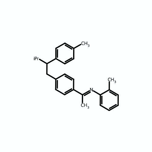 C/C(=N\c1ccccc1C)c1ccc(CC(c2ccc(C)cc2)C(C)C)cc1